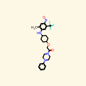 Cc1cc(N=O)c(C(F)(F)F)cc1NC1CCC(OCC(=O)N2CCN(c3ccccc3)CC2)CC1